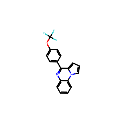 FC(F)(F)Oc1ccc(-c2nc3ccccc3n3cccc23)cc1